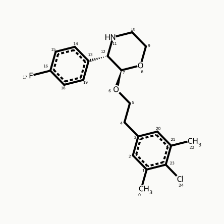 Cc1cc(CCO[C@@H]2OCCN[C@H]2c2ccc(F)cc2)cc(C)c1Cl